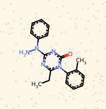 CCc1nc(N(N)c2ccccc2)nc(=O)n1-c1ccccc1C